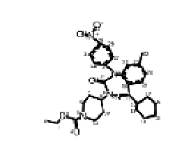 CCOC(=O)N1CCC(N2N=C(C3CCCCC3)c3ccc(C)cc3N(c3ccc([N+](=O)[O-])cc3)C2=O)CC1